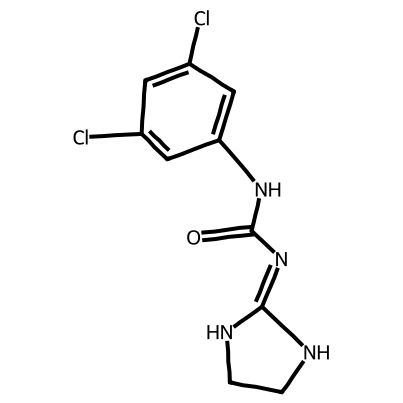 O=C(N=C1NCCN1)Nc1cc(Cl)cc(Cl)c1